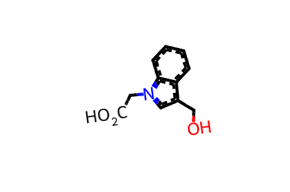 O=C(O)Cn1cc(CO)c2ccccc21